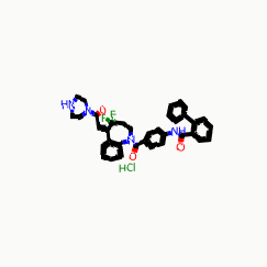 Cl.O=C(Nc1ccc(C(=O)N2CCC(F)(F)C(=CC(=O)N3CCNCC3)c3ccccc32)cc1)c1ccccc1-c1ccccc1